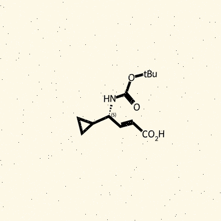 CC(C)(C)OC(=O)N[C@H](C=CC(=O)O)C1CC1